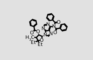 CCC1(CC)O[C@@H](n2cnc3c(N(C(=O)c4ccccc4)C(=O)c4ccccc4)ncnc32)[C@@H](OC(=O)c2ccccc2)C1C